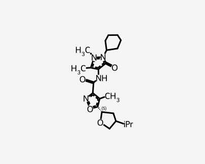 Cc1c(C(=O)Nc2c(C)n(C)n(C3CCCCC3)c2=O)noc1[C@@H]1CC(C(C)C)CO1